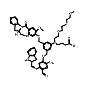 COCCOCCOCCN(CCCC(N)=O)c1cc(COc2cc(/N=C\C3Cc4ccccc4N3C)c(C=O)cc2OC)cc(COc2cc3c(cc2OC)C(=O)N2c4ccccc4C[C@H]2CN3)c1